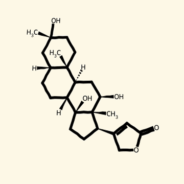 C[C@@]1(O)CC[C@@]2(C)[C@H](CC[C@@H]3[C@@H]2C[C@@H](O)[C@]2(C)[C@@H](C4=CC(=O)OC4)CC[C@]32O)C1